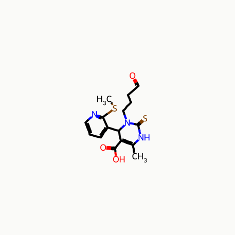 CSc1ncccc1C1C(C(=O)O)=C(C)NC(=S)N1CCCC=O